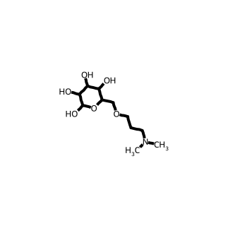 CN(C)CCCOCC1OC(O)C(O)C(O)C1O